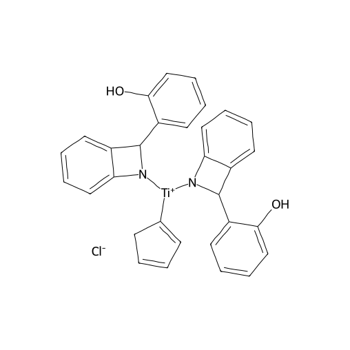 Oc1ccccc1C1c2ccccc2[N]1[Ti+]([C]1=CC=CC1)[N]1c2ccccc2C1c1ccccc1O.[Cl-]